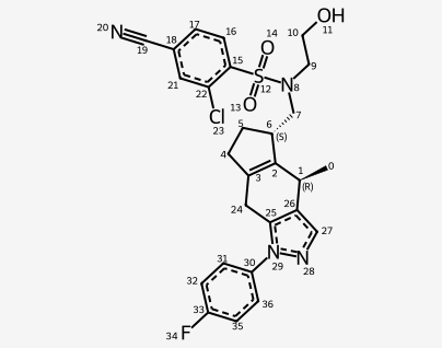 C[C@@H]1C2=C(CC[C@@H]2CN(CCO)S(=O)(=O)c2ccc(C#N)cc2Cl)Cc2c1cnn2-c1ccc(F)cc1